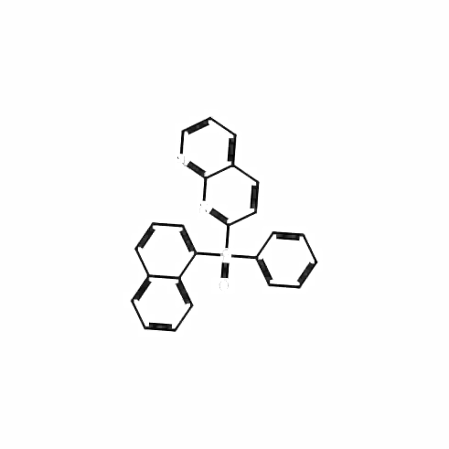 O=P(c1ccccc1)(c1ccc2cccnc2n1)c1cccc2ccccc12